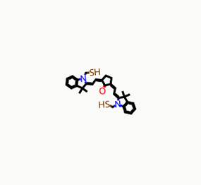 CC1(C)C(=CC=C2CCC(=CC=C3N(CS)c4ccccc4C3(C)C)C2=O)N(CS)c2ccccc21